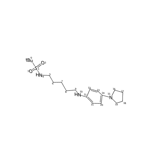 CC(C)(C)S(=O)(=O)NCCCCCNc1ccc(N2CCCC2)cc1